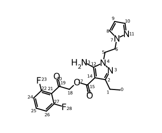 CCc1nn(CCn2cccn2)c(N)c1C(=O)OCC(=O)c1c(F)cccc1F